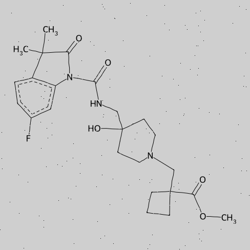 COC(=O)C1(CN2CCC(O)(CNC(=O)N3C(=O)C(C)(C)c4ccc(F)cc43)CC2)CCC1